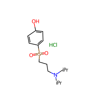 CC(C)N(CCCS(=O)(=O)c1ccc(O)cc1)C(C)C.Cl